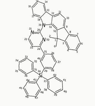 CC1(C)c2ccccc2-c2ccc3c4ccccc4n(-c4nccc(-c5cccc([Si](c6ccccc6)(c6ccccc6)c6ccccc6)c5)n4)c3c21